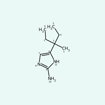 CCC(C)(CC)c1cnc(N)[nH]1